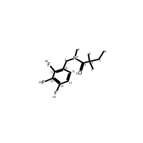 CCC(C)(C)C(=O)N(C)Cc1ccc(F)c(F)c1F